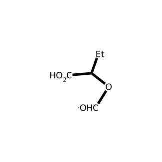 CCC(O[C]=O)C(=O)O